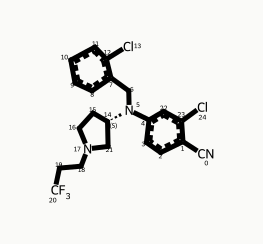 N#Cc1ccc(N(Cc2ccccc2Cl)[C@H]2CCN(CCC(F)(F)F)C2)cc1Cl